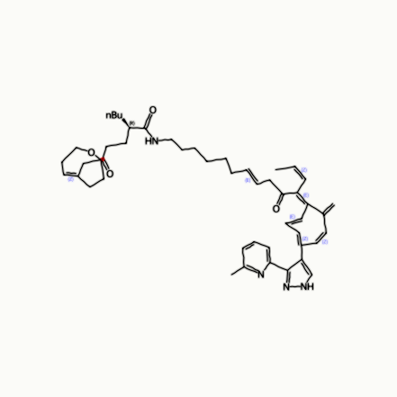 C=C1\C=C/C(c2c[nH]nc2-c2cccc(C)n2)=C/C=C/C1=C(/C=C\C)C(=O)C/C=C/CCCCCCNC(=O)[C@H](CCCC)CCC(=O)C/C1=C\CCOCCC1